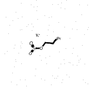 CC(C)CCO[S-](=O)=O.[K+]